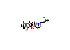 CC(C)(C)[Si](C)(C)OC1CCN(CCB(F)F)C1